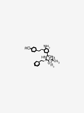 CCC(C)(C)OC(=O)[C@H](CCc1ccccc1)N[C@H](O)c1ccc(N)c(CCc2ccc(O)cc2)c1